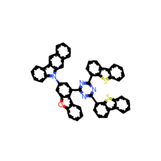 c1ccc2cc3c(cc2c1)c1ccccc1n3-c1cc(-c2nc(-c3cccc4c3sc3ccccc34)nc(-c3cccc4c3sc3ccccc34)n2)c2c(c1)oc1ccccc12